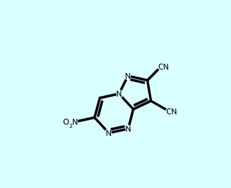 N#Cc1nn2cc([N+](=O)[O-])nnc2c1C#N